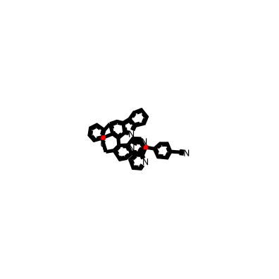 N#Cc1ccc(-c2nc(-n3c4ccccc4c4cc5c6c(c43)-c3c(ccc4ccccc34)C(CC6)c3ccccc3-5)nc3cccnc23)cc1